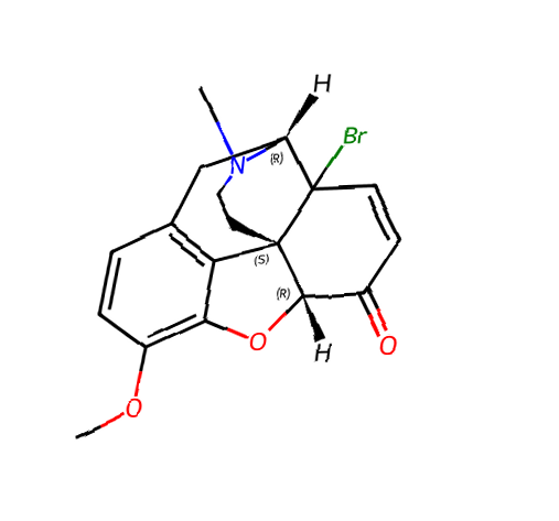 COc1ccc2c3c1O[C@H]1C(=O)C=CC4(Br)[C@@H](C2)N(C)CC[C@]314